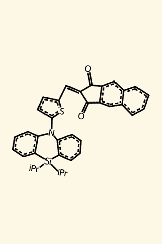 CC(C)[Si]1(C(C)C)c2ccccc2N(c2ccc(C=C3C(=O)c4cc5ccccc5cc4C3=O)s2)c2ccccc21